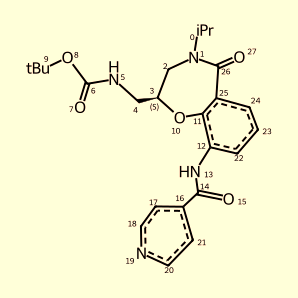 CC(C)N1C[C@H](CNC(=O)OC(C)(C)C)Oc2c(NC(=O)c3ccncc3)cccc2C1=O